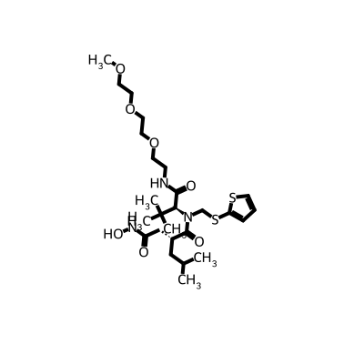 COCCOCCOCCNC(=O)[C@@H](N(CSc1cccs1)C(=O)[C@@H](CC(=O)NO)CC(C)C)C(C)(C)C